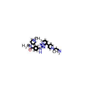 CC(CC#N)N1CC=C(c2cccn3nc(Nc4ccc(C(=O)N(C)C5CCN(C)CC5)cc4)nc23)CC1